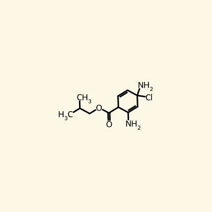 CC(C)COC(=O)C1C=CC(N)(Cl)C=C1N